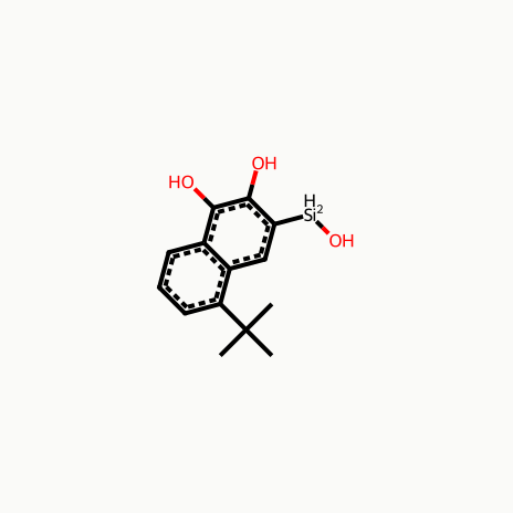 CC(C)(C)c1cccc2c(O)c(O)c([SiH2]O)cc12